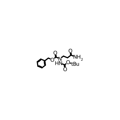 CC(C)(C)OC(=O)NN(CCC(N)=O)C(=O)OCc1ccccc1